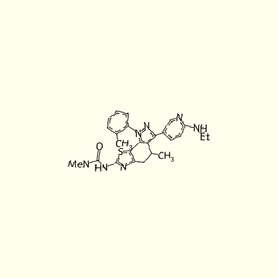 CCNc1ccc(-c2nn(-c3ccccc3C)c3c2C(C)Cc2nc(NC(=O)NC)sc2-3)cn1